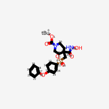 CC(C)(C)OC(=O)N1CCC(CS(=O)(=O)c2ccc(Oc3ccccc3)cc2)(C(=O)NO)CC1